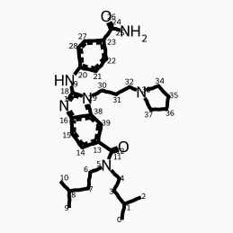 CC(C)CCN(CCC(C)C)C(=O)c1ccc2nc(Nc3ccc(C(N)=O)cc3)n(CCCN3CCCC3)c2c1